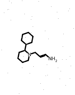 NC=CCN1CCCCC1C1CCCCC1